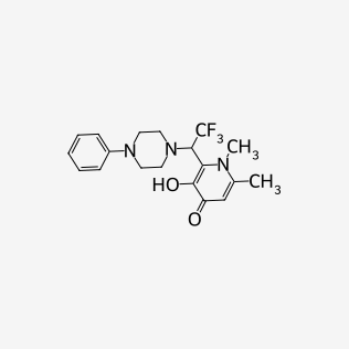 Cc1cc(=O)c(O)c(C(N2CCN(c3ccccc3)CC2)C(F)(F)F)n1C